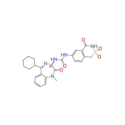 CN1C(=O)[C@H](NC(=O)Nc2ccc3c(c2)C(=O)NS(=O)(=O)C3)N=C(C2CCCCC2)c2ccccc21